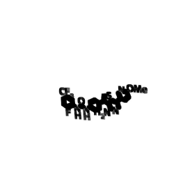 COc1ccc(-c2cnc(N)c3c(-c4ccc(NC(=O)Nc5cc(C(F)(F)F)ccc5F)cc4)csc23)cn1